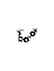 O=C(O)CC[C@H]1CN(c2cncc(OC[C@H]3CC[C@@H](C(F)(F)F)CC3)c2)CCO1